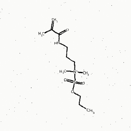 C=C(C)C(=O)NCCC[N+](C)(C)S(=O)(=O)OCCC